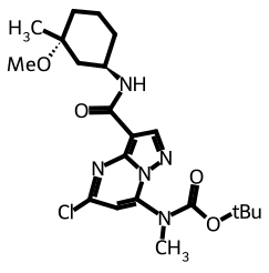 CO[C@]1(C)CCC[C@@H](NC(=O)c2cnn3c(N(C)C(=O)OC(C)(C)C)cc(Cl)nc23)C1